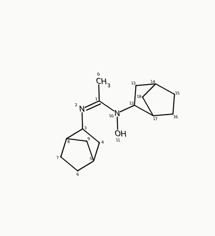 CC(=NC1CC2CCC1C2)N(O)C1CC2CCC1C2